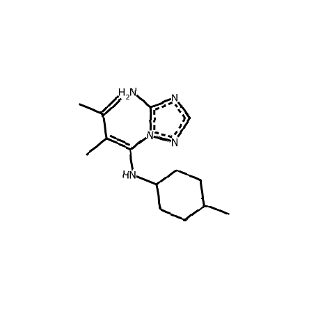 C=C(C)/C(C)=C(/NC1CCC(C)CC1)n1ncnc1N